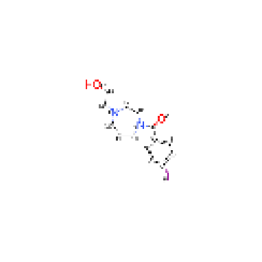 O=C(c1ccc(I)cc1)N1CCCN(CCO)CC1